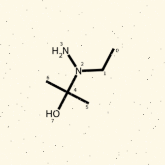 CCN(N)C(C)(C)O